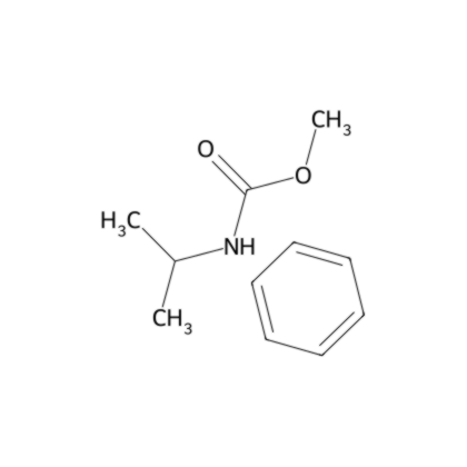 COC(=O)NC(C)C.c1ccccc1